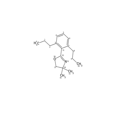 CCCc1cccc(CCC)c1C1=NC(C)(C)CO1